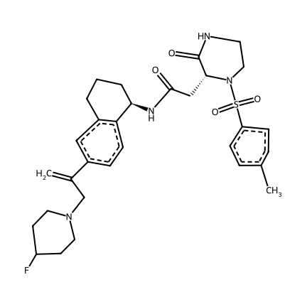 C=C(CN1CCC(F)CC1)c1ccc2c(c1)CCC[C@H]2NC(=O)C[C@@H]1C(=O)NCCN1S(=O)(=O)c1ccc(C)cc1